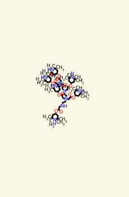 CC1(C)CC(OC(=O)CNCC[N+](CCN(CCN(CC(=O)OC2CC(C)(C)NC(C)(C)C2)CC(=O)OC2CC(C)(C)NC(C)(C)C2)CC(=O)OC2CC(C)(C)NC(C)(C)C2)(CC(=O)OC2CC(C)(C)NC(C)(C)C2)CC(=O)OC2CC(C)(C)NC(C)(C)C2)CC(C)(C)N1